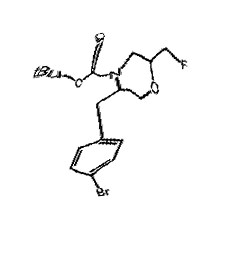 CC(C)(C)OC(=O)N1CC(CF)OCC1Cc1ccc(Br)cc1